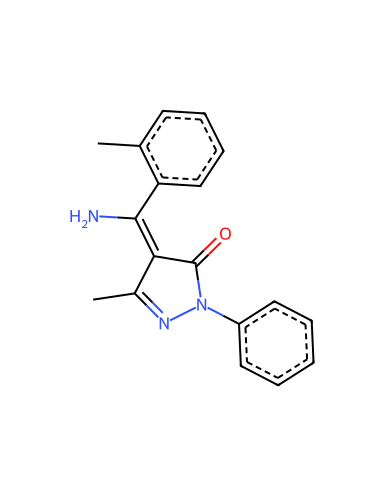 CC1=NN(c2ccccc2)C(=O)/C1=C(/N)c1ccccc1C